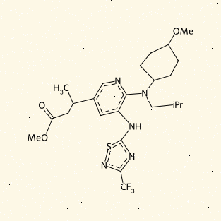 COC(=O)CC(C)c1cnc(N(CC(C)C)C2CCC(OC)CC2)c(Nc2nc(C(F)(F)F)ns2)c1